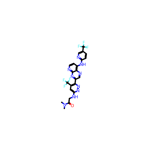 CN(C)C(=O)CNc1cc(C(F)(F)F)c(-c2cnc3c(Nc4ccc(C(F)(F)F)cn4)ccnc3n2)nn1